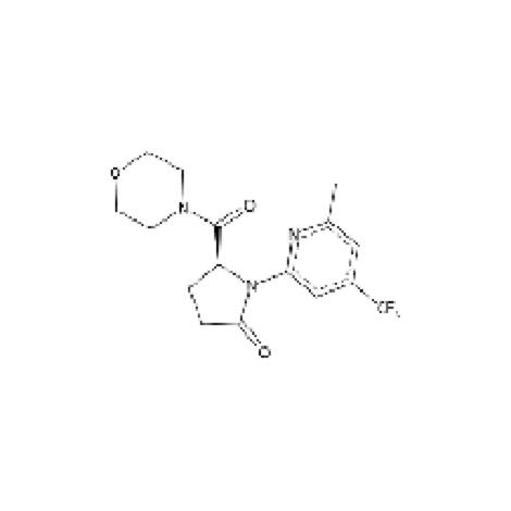 Cc1cc(C(F)(F)F)cc(N2C(=O)CC[C@H]2C(=O)N2CCOCC2)n1